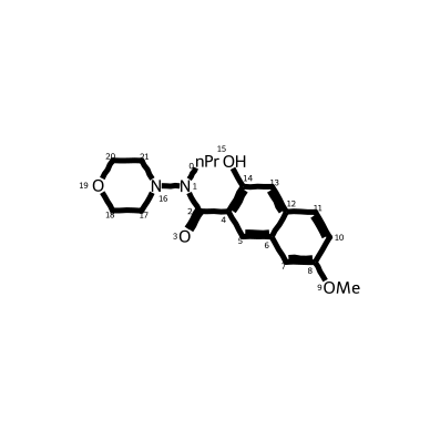 CCCN(C(=O)c1cc2cc(OC)ccc2cc1O)N1CCOCC1